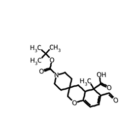 CC(C)(C)OC(=O)N1CCC2(CC1)COC1=CC=C(C=O)C(C)(C(=O)O)C1C2